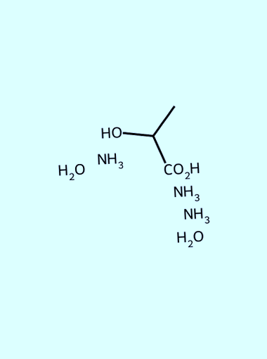 CC(O)C(=O)O.N.N.N.O.O